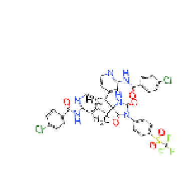 CC(c1ccnc(NC(=O)c2ccc(Cl)cc2)c1)C1(C(C)c2ccnc(NC(=O)c3ccc(Cl)cc3)c2)NC(=O)N(c2ccc(S(=O)(=O)C(F)(F)F)cc2)C1=O